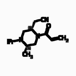 C=CC(=O)N1C[C@H](C)N(C(C)C)C[C@@H]1CC#N